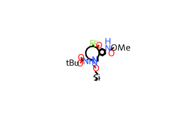 COC(=O)Nc1ccc2c(c1)C(=O)C(F)(F)CCCC[C@H](NC(=O)OC(C)(C)C)c1nc-2cn1COCC[Si](C)(C)C